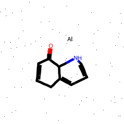 O=C1C=CCC2=CC=CNC12.[Al]